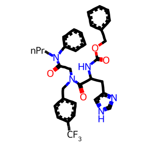 CCCN(C(=O)CN(Cc1ccc(C(F)(F)F)cc1)C(=O)C(Cc1c[nH]cn1)NC(=O)OCc1ccccc1)c1ccccc1